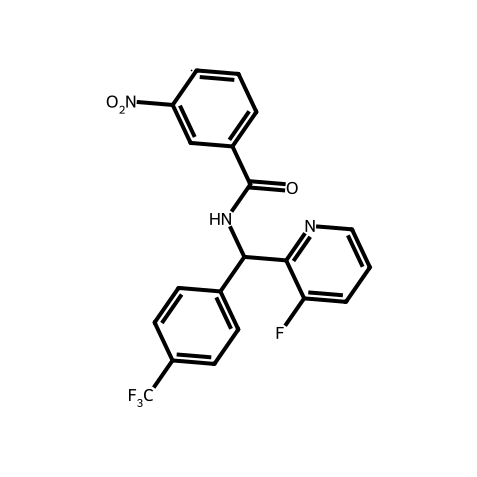 O=C(NC(c1ccc(C(F)(F)F)cc1)c1ncccc1F)c1cc[c]c([N+](=O)[O-])c1